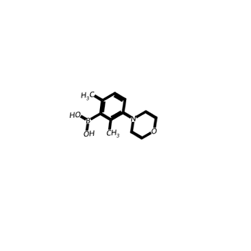 Cc1ccc(N2CCOCC2)c(C)c1B(O)O